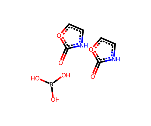 O=c1[nH]cco1.O=c1[nH]cco1.OB(O)O